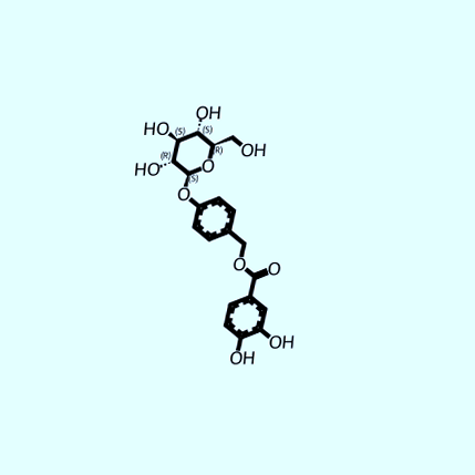 O=C(OCc1ccc(O[C@@H]2O[C@H](CO)[C@@H](O)[C@H](O)[C@H]2O)cc1)c1ccc(O)c(O)c1